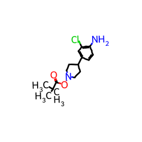 CC(C)(C)C(=O)ON1CCC(c2ccc(N)c(Cl)c2)CC1